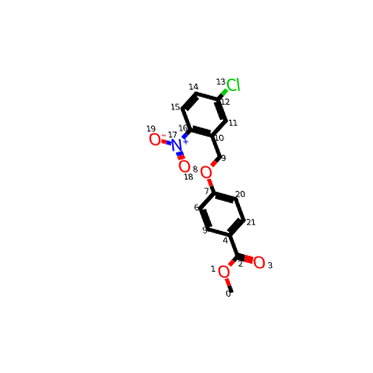 COC(=O)c1ccc(OCc2cc(Cl)ccc2[N+](=O)[O-])cc1